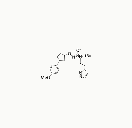 COc1ccc([C@@H]2CC[C@H](O/N=[N+](\[O-])N(CCn3ccnn3)C(C)(C)C)C2)cc1